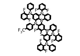 Fc1cccc(F)c1N(c1ccccc1)c1cc2c3c(c1)N(c1c(F)cccc1F)c1ccccc1B3c1cc3c(c(F)c1S2)N(c1ccc(C(F)(F)F)cc1)c1cc(N(c2ccccc2)c2c(F)cccc2F)cc2c1B3c1ccccc1N2c1c(F)cccc1F